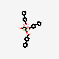 O=C(OC[C@@H]1SC(O)[C@@H](OC(=O)c2ccc(-c3ccccc3)cc2)[C@@H]1OC(=O)c1ccc(-c2ccccc2)cc1)c1ccc(-c2ccccc2)cc1